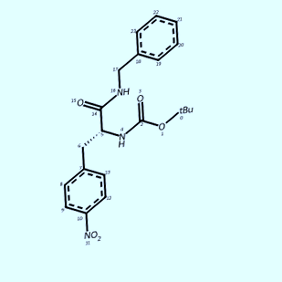 CC(C)(C)OC(=O)N[C@H](Cc1ccc([N+](=O)[O-])cc1)C(=O)NCc1ccccc1